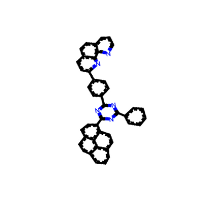 c1ccc(-c2nc(-c3ccc(-c4ccc5ccc6cccnc6c5n4)cc3)nc(-c3ccc4ccc5cccc6ccc3c4c56)n2)cc1